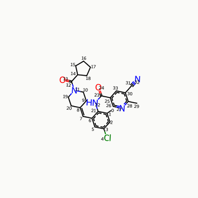 Cc1cc(Cl)cc(C=C2CCN(C(=O)C3CCCC3)CC2)c1NC(=O)c1cnc(C)c(C#N)c1